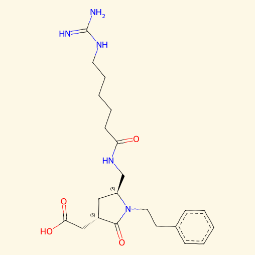 N=C(N)NCCCCCC(=O)NC[C@@H]1C[C@@H](CC(=O)O)C(=O)N1CCc1ccccc1